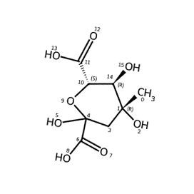 C[C@@]1(O)CC(O)(C(=O)O)O[C@H](C(=O)O)[C@H]1O